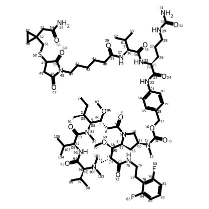 CC[C@H](C)[C@@H]([C@@H](CC(=O)N1C[C@@H](N(C)C(=O)OCc2ccc(NC(=O)[C@H](CCCNC(N)=O)NC(=O)[C@@H](NC(=O)CCCCCN3C(=O)CC(SCC4(CC(N)=O)CC4)C3=O)C(C)C)cc2)C[C@H]1[C@H](OC)[C@@H](C)C(=O)NCCc1c(F)cccc1F)OC)N(C)C(=O)[C@@H](NC(=O)[C@H](C(C)C)N(C)C)C(C)C